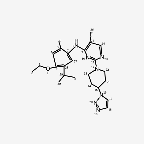 CCOc1cc(C)c(Nc2nc(N3CCC(n4ccnn4)CC3)ncc2F)cc1C(C)C